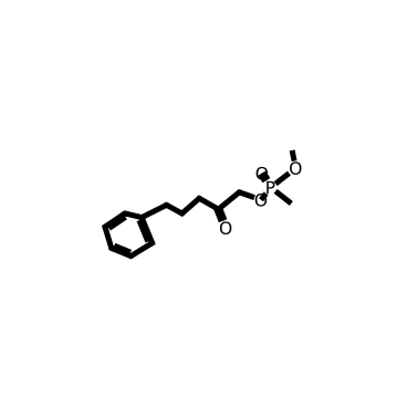 COP(C)(=O)OCC(=O)CCCc1ccccc1